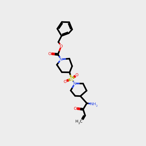 C=CC(=O)C(N)C1CCN(S(=O)(=O)C2CCN(C(=O)OCc3ccccc3)CC2)CC1